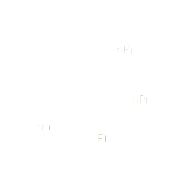 CCCC([CH]C(CCC)CCC)CC